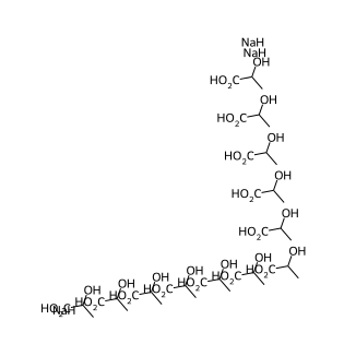 CC(O)C(=O)O.CC(O)C(=O)O.CC(O)C(=O)O.CC(O)C(=O)O.CC(O)C(=O)O.CC(O)C(=O)O.CC(O)C(=O)O.CC(O)C(=O)O.CC(O)C(=O)O.CC(O)C(=O)O.CC(O)C(=O)O.CC(O)C(=O)O.[NaH].[NaH].[NaH]